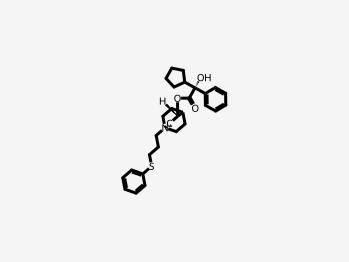 O=C(O[C@H]1C[N+]2(CCCSc3ccccc3)CCC1CC2)[C@](O)(c1ccccc1)C1CCCC1